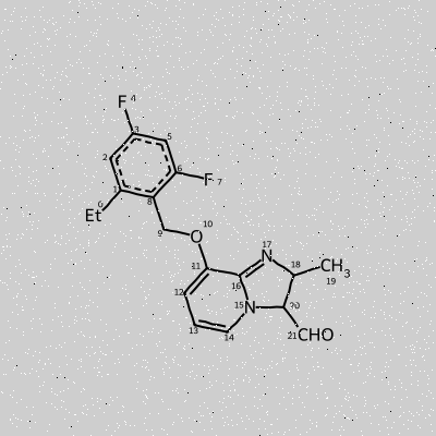 CCc1cc(F)cc(F)c1COC1=CC=CN2C1=NC(C)C2C=O